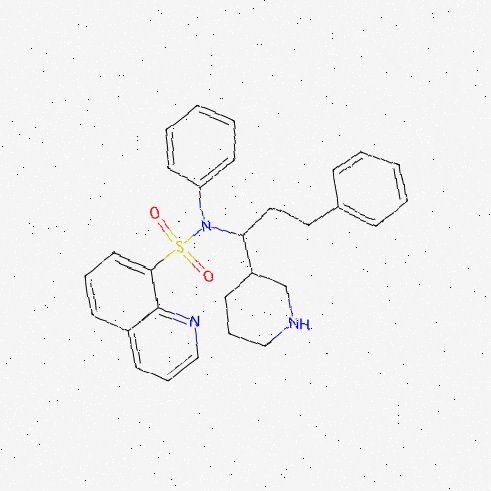 O=S(=O)(c1cccc2cccnc12)N(c1ccccc1)C(CCc1ccccc1)C1CCCNC1